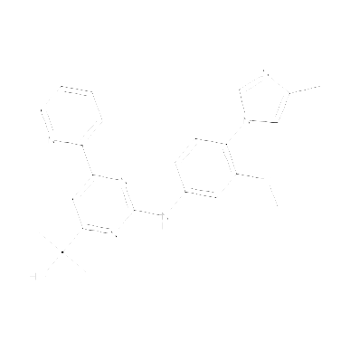 COc1cc(Nc2nc(-c3ccccn3)cc(C(C)(C)O)n2)ccc1-n1cnc(C)c1